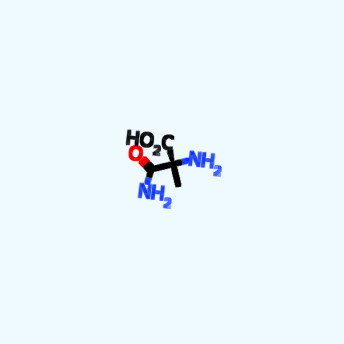 C[C@@](N)(C(N)=O)C(=O)O